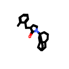 Cc1ccccc1CC1CCN(C23CCCC4CC(CC4C2)C3)C1=O